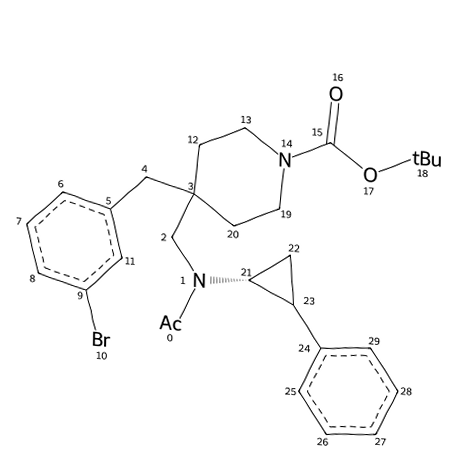 CC(=O)N(CC1(Cc2cccc(Br)c2)CCN(C(=O)OC(C)(C)C)CC1)[C@@H]1CC1c1ccccc1